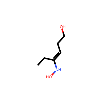 CC/C(=C\CCO)NO